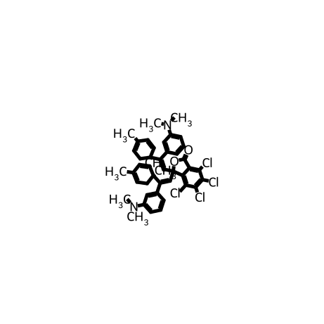 CC1=CCC(C)(C(=CC2(C=C(c3cccc(N(C)C)c3)C3(C)C=CC(C)=CC3)OC(=O)c3c(Cl)c(Cl)c(Cl)c(Cl)c32)c2cccc(N(C)C)c2)C=C1